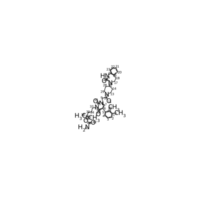 Cc1cccc(-c2cn(CC(=O)N3CCC(N4CCc5ccccc5NC4=O)CC3)c(=O)n(CCCC(C)(C)OC(N)=O)c2=O)c1C